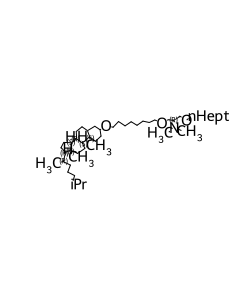 CCCCCCCOC[C@H](COCCCCCCCCOC1CC[C@@]2(C)C(CC[C@H]3[C@@H]4CC[C@H]([C@H](C)CCCC(C)C)[C@@]4(C)CC[C@@H]32)C1)N(C)C